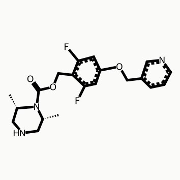 C[C@@H]1CNC[C@H](C)N1C(=O)OCc1c(F)cc(OCc2cccnc2)cc1F